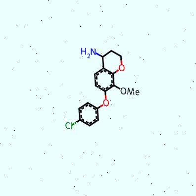 COc1c(Oc2ccc(Cl)cc2)ccc2c1OCCC2N